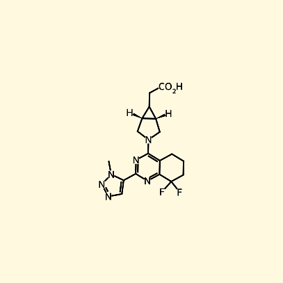 Cn1nncc1-c1nc(N2C[C@@H]3C(CC(=O)O)[C@@H]3C2)c2c(n1)C(F)(F)CCC2